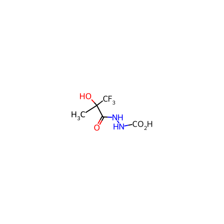 CC(O)(C(=O)NNC(=O)O)C(F)(F)F